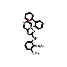 COc1cccc(NC2=N[N+]3(c4ccccc4-c4ccccc4)C=CN=CC3=N2)c1OC